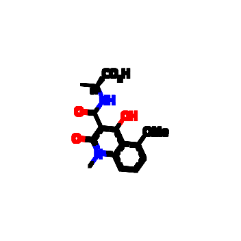 COc1cccc2c1c(O)c(C(=O)N[C@@H](C)C(=O)O)c(=O)n2C